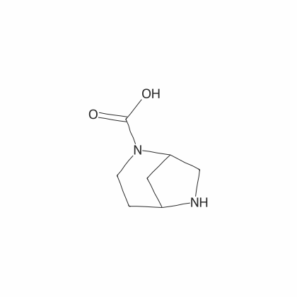 O=C(O)N1CCC2CC1CN2